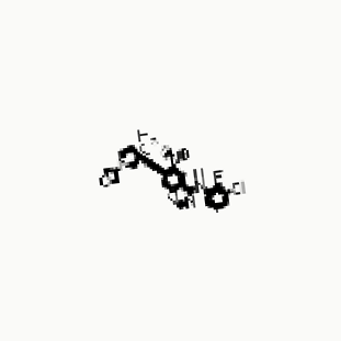 CC1(C#Cc2cc3ncnc(Nc4cccc(Cl)c4F)c3cc2[N+](=O)[O-])CCN(C2COC2)C1